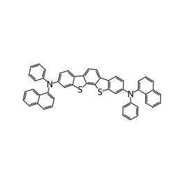 c1ccc(N(c2ccc3c(c2)sc2c3ccc3c4ccc(N(c5ccccc5)c5cccc6ccccc56)cc4sc32)c2cccc3ccccc23)cc1